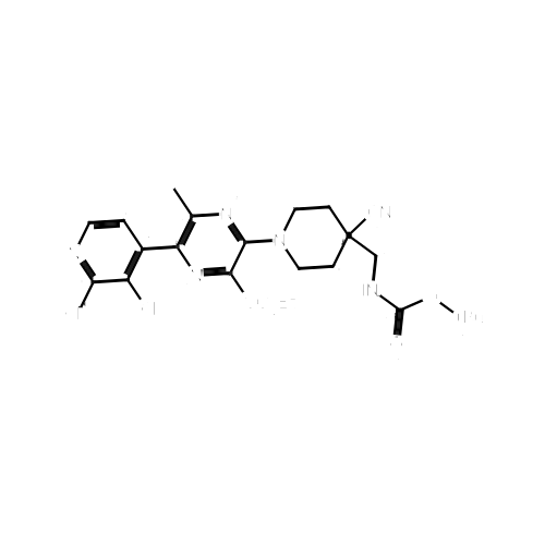 CCOC(=O)c1nc(-c2ccnc(Cl)c2Cl)c(C)nc1N1CCC(C#N)(CNC(=O)OC(C)(C)C)CC1